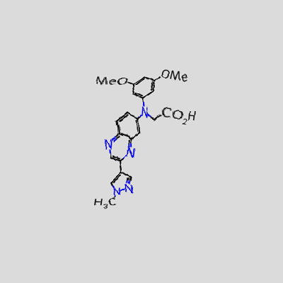 COc1cc(OC)cc(N(CC(=O)O)c2ccc3ncc(-c4cnn(C)c4)nc3c2)c1